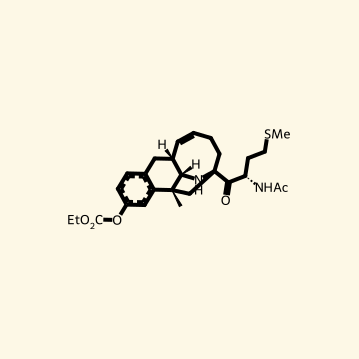 CCOC(=O)Oc1ccc2c(c1)[C@@]1(C)CC3(C(=O)[C@H](CCSC)NC(C)=O)CC/C=C\[C@@H](C2)[C@@H]1N3